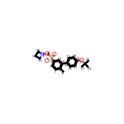 Cc1ccc(S(=O)(=O)ON2CCC2)cc1-c1ccc(OC(C)(C)C)cc1